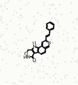 O=C1NOCc2[nH]c3c(ccc4cnc(/C=C/c5ccccc5)cc43)c21